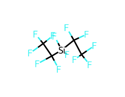 FC(F)(F)C(F)(F)[Si](F)(F)C(F)(F)C(F)(F)F